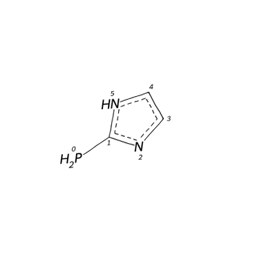 Pc1ncc[nH]1